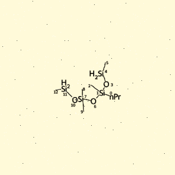 CCC[Si](C)(O[SiH2]C)O[Si](C)(C)O[SiH2]C